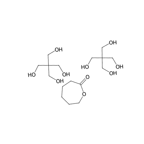 O=C1CCCCCO1.OCC(CO)(CO)CO.OCC(CO)(CO)CO